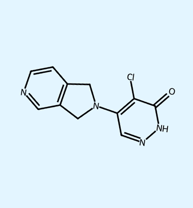 O=c1[nH]ncc(N2Cc3ccncc3C2)c1Cl